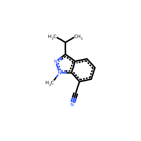 CC(C)c1nn(C)c2c(C#N)cccc12